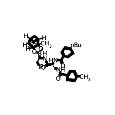 CCCCc1ccc(C(=O)N[C@H](CNC(=O)c2ccc(C)cc2)C(=O)N[C@@H](CC(C)C)B2O[C@@H]3C[C@@H]4C[C@@H](C4(C)C)[C@]3(C)O2)cc1